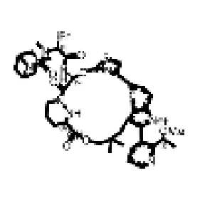 CCn1c(-c2cccnc2[C@H](C)OC)c2c3cc(ccc31)-c1csc(n1)C[C@H](NC(=O)[C@H](C(C)C)N(C)C(=O)N1C3CC1CN(C)C3)C(=O)N1CCC[C@@](O)(N1)C(=O)OCC(C)(C)C2